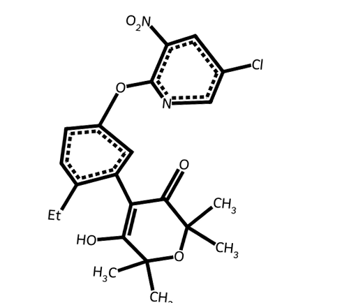 CCc1ccc(Oc2ncc(Cl)cc2[N+](=O)[O-])cc1C1=C(O)C(C)(C)OC(C)(C)C1=O